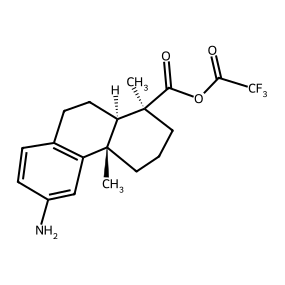 C[C@]1(C(=O)OC(=O)C(F)(F)F)CCC[C@]2(C)c3cc(N)ccc3CC[C@@H]12